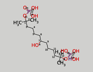 CC(C)(CCCCC(O)CCCCC(C)(C)O[PH](O)(O)O)OP(=O)(O)O